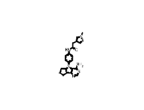 Cn1cc(CC(=O)Nc2ccc(-n3c4c(c5ncnc(N)c53)CCC4)cc2)cn1